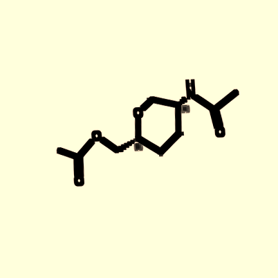 CC(=O)N[C@@H]1[CH][CH][C@H](COC(C)=O)O[CH]1